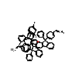 C=CC1=CC=C(C2(c3ccccc3)C3=C(C=CCC3)c3ccc(N(c4ccc(F)cc4F)c4cccc5oc6cccc(N(c7ccc8c(c7)C(C7=CCC(C=C)C=C7)(c7ccccc7)c7ccccc7-8)c7ccc(F)cc7F)c6c45)cc32)CC1